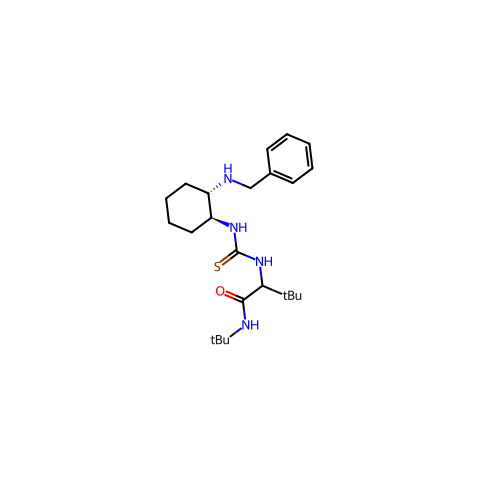 CC(C)(C)NC(=O)C(NC(=S)N[C@H]1CCCC[C@@H]1NCc1ccccc1)C(C)(C)C